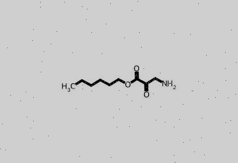 CCCCCCOC(=O)C(=O)CN